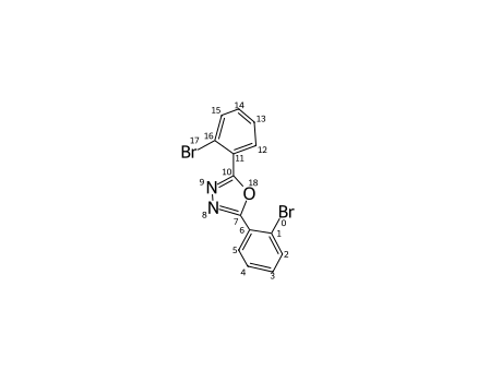 Brc1ccccc1-c1nnc(-c2ccccc2Br)o1